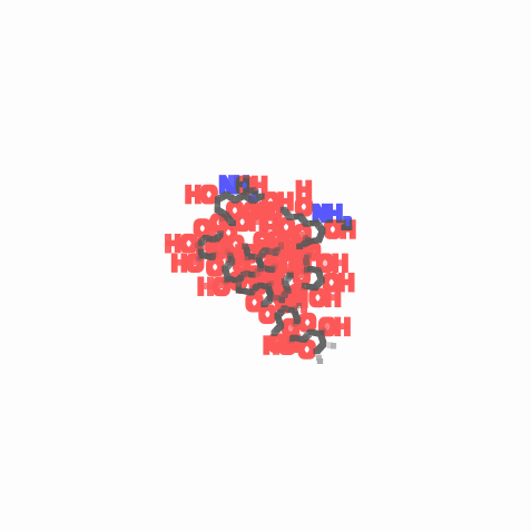 CC1C(O)[C@H](O[C@@H]2OC(CO[C@]3(C(=O)O)C[C@@H](O)[C@@H](N)C([C@H](O)C(O)CO)O3)[C@H](O)C(O)[C@@H]2O)[C@H](CO)O[C@H]1O[C@@H]1C(O)[C@H](O)C(CO)O[C@@H]1OCC1O[C@@H](O[C@@H]2C(CO)O[C@@H](O[C@@H]3C(CO)O[C@@H](C)[C@@H](C)C3O)[C@@H](C)C2O)C(O)C(O[C@H]2O[C@H](CO)[C@@H](O)C(O)C2O[C@@H]2OC(CO)[C@@H](O[C@@H]3OC(CO[C@]4(C(=O)O)C[C@@H](O)[C@@H](N)C([C@H](O)C(O)CO)O4)[C@H](O)C(O)[C@@H]3O)C(O)[C@@H]2C)[C@@H]1O